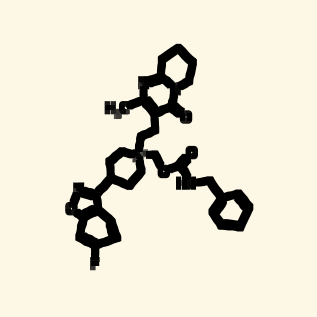 Cc1nc2n(c(=O)c1CC[N+]1(COC(=O)NCc3ccccc3)CCC(c3noc4cc(F)ccc34)CC1)CCCC2